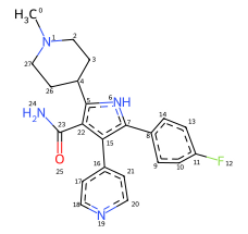 CN1CCC(c2[nH]c(-c3ccc(F)cc3)c(-c3ccncc3)c2C(N)=O)CC1